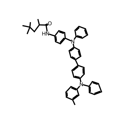 Cc1cccc(N(c2ccccc2)c2ccc(-c3ccc(N(c4ccccc4)c4ccc(NC(=O)C(C)CC(C)(C)C)cc4)cc3)cc2)c1